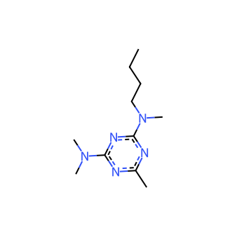 CCCCN(C)c1nc(C)nc(N(C)C)n1